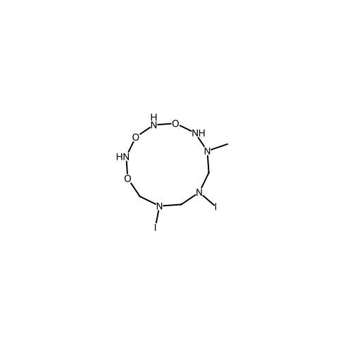 CN1CN(I)CN(I)CONONON1